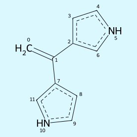 C=C(c1cc[nH]c1)c1cc[nH]c1